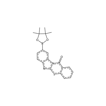 CC1(C)OB(c2ccc3nc4sc5ccccc5c(=O)n4c3c2)OC1(C)C